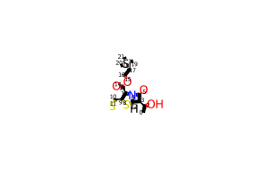 CC(O)[C@@H]1C(=O)N2[C@@H]1S[C@@H](C=S)[C@H]2C(=O)OCC[Si](C)(C)C